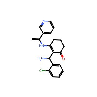 C=C(NC1=C(C(N)c2ccccc2Cl)C(=O)CCC1)c1cccnc1